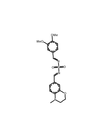 COc1ccc(C=NS(=O)(=O)N=Cc2ccc3c(c2)OCCN3C)cc1OC